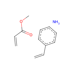 C=CC(=O)OC.C=Cc1ccccc1.N